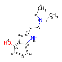 CCN(CC)CCc1cc2c(O)cccc2[nH]1